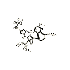 CCOC(=O)[C@@H]1C[C@@H](NS(C)(=O)=O)CN1C(=O)c1nc(-c2ccc(OC)c3nc(C(F)(F)F)ccc23)oc1[C@H](C)N